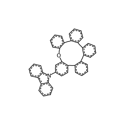 c1ccc2c(c1)Oc1cc(-n3c4ccccc4c4ccccc43)ccc1-c1ccccc1-c1ccccc1-c1ccccc1-2